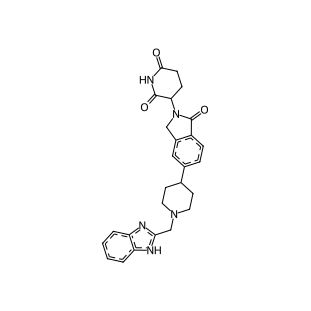 O=C1CCC(N2Cc3cc(C4CCN(Cc5nc6ccccc6[nH]5)CC4)ccc3C2=O)C(=O)N1